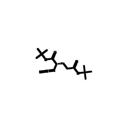 CC(C)(C)OC(=O)CC[C@H](N=[N+]=[N-])C(=O)OC(C)(C)C